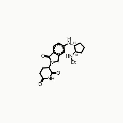 CCN[C@@H]1CCC[C@H]1Nc1ccc2c(c1)CN(C1CCC(=O)NC1=O)C2=O